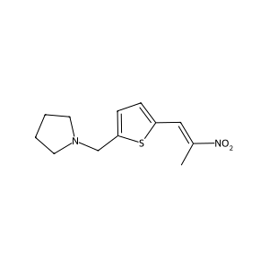 CC(=Cc1ccc(CN2CCCC2)s1)[N+](=O)[O-]